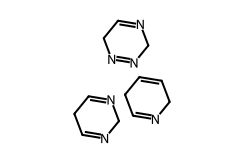 C1=CCN=CC1.C1=NCN=CC1.C1=NCN=NC1